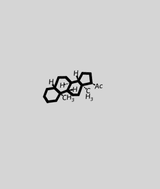 CC(=O)[C@H]1CC[C@H]2[C@@H]3CC[C@H]4CCCC[C@]4(C)[C@H]3CC[C@]12C